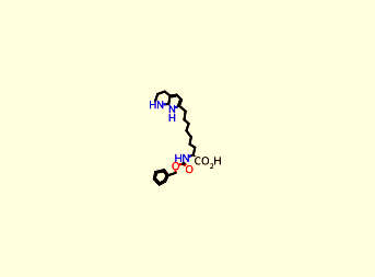 O=C(N[C@@H](CCCCCCCC1=CC=C2CCCNC2N1)C(=O)O)OCc1ccccc1